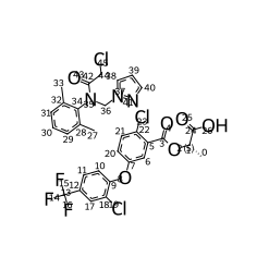 C[C@H](OC(=O)c1cc(Oc2ccc(C(F)(F)F)cc2Cl)ccc1Cl)C(=O)O.Cc1cccc(C)c1N(Cn1cccn1)C(=O)CCl